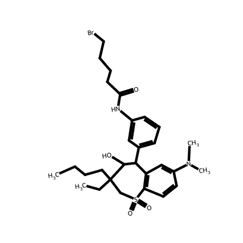 CCCCC1(CC)CS(=O)(=O)c2ccc(N(C)C)cc2C(c2cccc(NC(=O)CCCCBr)c2)C1O